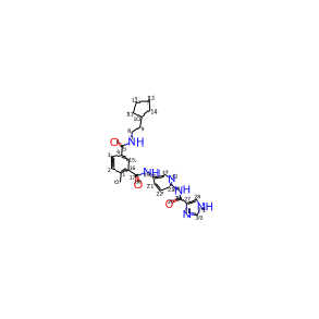 Cc1ccc(C(=O)NCCC2CCCC2)cc1C(=O)Nc1ccc(NC(=O)c2c[nH]cn2)nc1